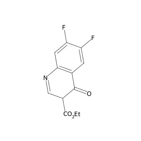 CCOC(=O)C1C=Nc2cc(F)c(F)cc2C1=O